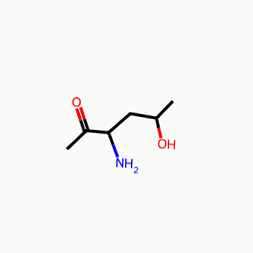 CC(=O)C(N)CC(C)O